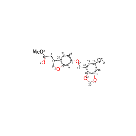 COC(=O)C[C@@H]1COc2cc(OCc3cc(C(F)(F)F)cc4c3OCO4)ccc21